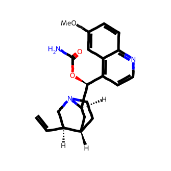 C=C[C@H]1CN2CC[C@H]1C[C@@H]2[C@@H](OC(N)=O)c1ccnc2ccc(OC)cc12